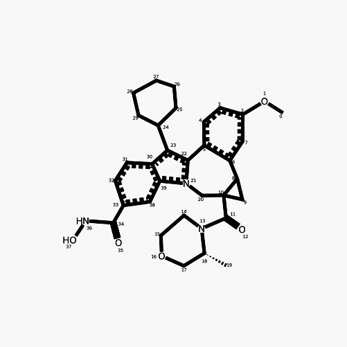 COc1ccc2c(c1)C1CC1(C(=O)N1CCOC[C@H]1C)Cn1c-2c(C2CCCCC2)c2ccc(C(=O)NO)cc21